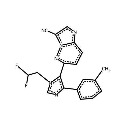 Cc1cccc(-c2ncn(CC(F)F)c2-c2ccc3ncc(C#N)n3n2)c1